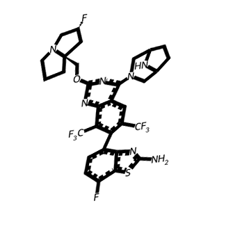 Nc1nc2c(-c3c(C(F)(F)F)cc4c(N5CC6CCC(C5)N6)nc(OC[C@@]56CCCN5C[C@H](F)C6)nc4c3C(F)(F)F)ccc(F)c2s1